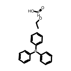 CCO[PH](=O)O.c1ccc(N(c2ccccc2)c2ccccc2)cc1